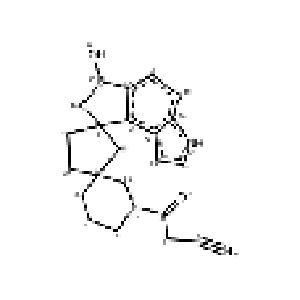 N#CCC(=O)N1CCCC2(CCC3(C2)OB(O)c2cnc4[nH]ccc4c23)C1